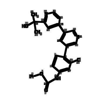 CC(C)OC(=O)Nc1ccc(-c2cncc(-c3ccnc(C(C)(C)O)c3)c2)c(Cl)c1